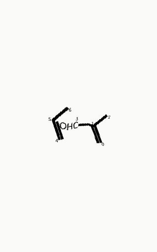 C=C(C)C=O.C=CC